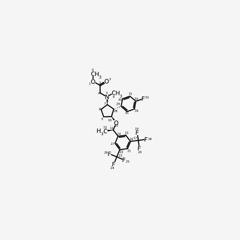 COC(=O)CN(C)[C@@H]1CC[C@H](O[C@H](C)c2cc(C(F)(F)F)cc(C(F)(F)F)c2)[C@H]1c1ccc(F)cc1